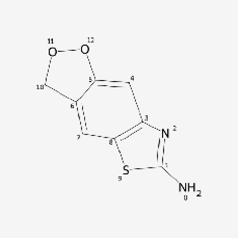 Nc1nc2cc3c(cc2s1)COO3